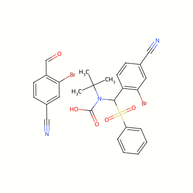 CC(C)(C)N(C(=O)O)C(c1ccc(C#N)cc1Br)S(=O)(=O)c1ccccc1.N#Cc1ccc(C=O)c(Br)c1